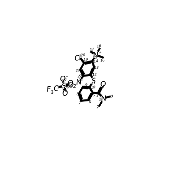 CN(C)C(=O)c1ccccc1Sc1cc([N+](C)(C)C)c(Cl)cc1[N+](=O)[O-].O=S(=O)([O-])C(F)(F)F